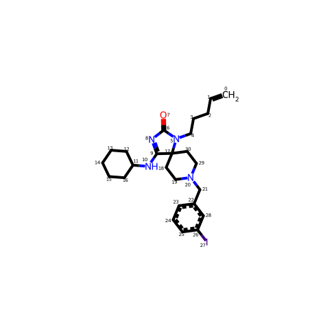 C=CCCCN1C(=O)N=C(NC2CCCCC2)C12CCN(Cc1cccc(I)c1)CC2